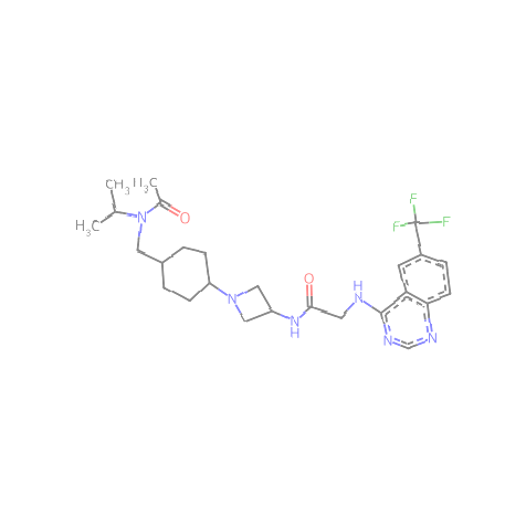 CC(=O)N(CC1CCC(N2CC(NC(=O)CNc3ncnc4ccc(C(F)(F)F)cc34)C2)CC1)C(C)C